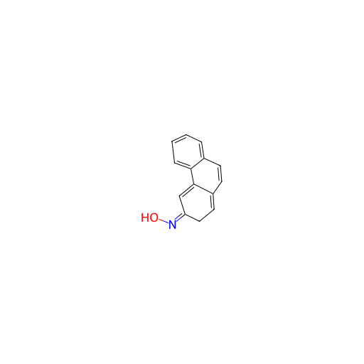 ON=C1C=c2c(ccc3ccccc23)=CC1